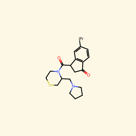 CC(C)c1ccc2c(c1)C(C(=O)N1CCSCC1CN1CCCC1)CC2=O